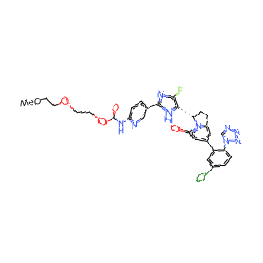 COCCOCCOC(=O)Nc1ccc(-c2nc(F)c([C@@H]3CCc4cc(-c5cc(Cl)ccc5-n5cnnn5)cc(=O)n43)[nH]2)cn1